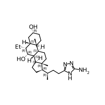 CC[C@H]1[C@@H](O)[C@@H]2[C@H](CC[C@]3(C)[C@@H]([C@H](C)CCc4nnc(N)[nH]4)CC[C@@H]23)[C@@]2(C)CC[C@@H](O)C[C@@H]12